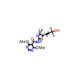 COc1ncnc(OC)c1C(=O)Nc1nc(C(F)(F)F)c(C#CC(C)(C)O)s1